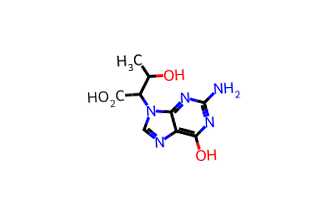 CC(O)C(C(=O)O)n1cnc2c(O)nc(N)nc21